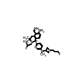 CN(c1ccc([C@@H]2c3ccc(N)c(C=N)c3CC(C)(C)N2CC(F)F)nc1)C1CN(CCCF)C1